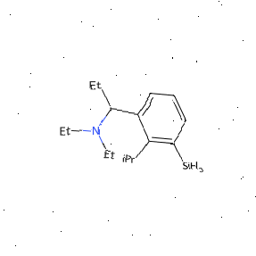 CCC(c1cccc([SiH3])c1C(C)C)N(CC)CC